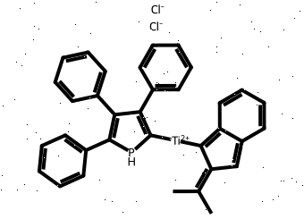 CC(C)=C1C=c2ccccc2=[C]1[Ti+2][c]1[pH]c(-c2ccccc2)c(-c2ccccc2)c1-c1ccccc1.[Cl-].[Cl-]